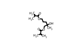 C=C(C)C(=O)OCCCC(C)(O)COC(=O)C(=C)C